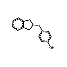 Oc1ccc(SC2Cc3ccccc3C2)cc1